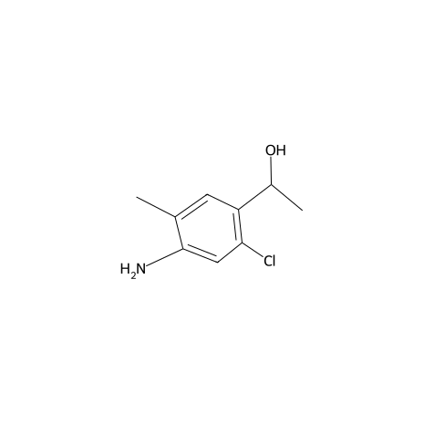 Cc1cc(C(C)O)c(Cl)cc1N